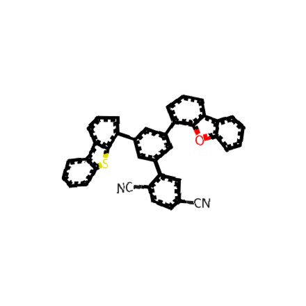 N#Cc1ccc(C#N)c(-c2cc(-c3cccc4c3oc3ccccc34)cc(-c3cccc4c3sc3ccccc34)c2)c1